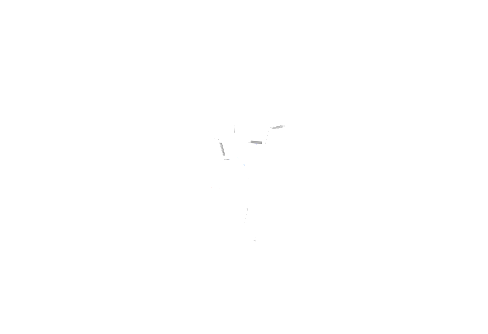 C=C/C=C1\C(C)C(C(F)(F)F)=C(CO)N1COCC[Si](C)(C)C